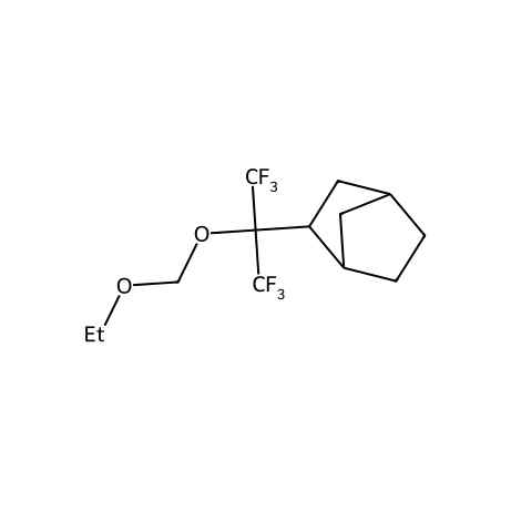 CCOCOC(C1CC2CCC1C2)(C(F)(F)F)C(F)(F)F